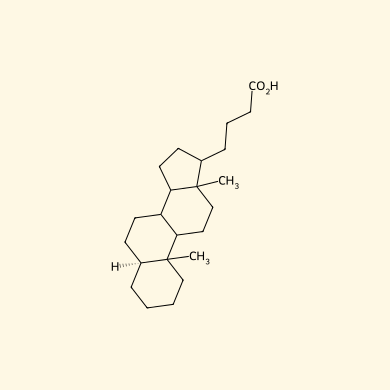 CC12CCC3C(CC[C@@H]4CCCCC34C)C1CCC2CCCC(=O)O